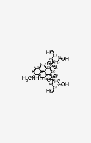 CNc1ccc2ccc3c(S(=O)(=O)N(CCO)CCO)cc(S(=O)(=O)N(CCO)CCO)c4ccc1c2c34